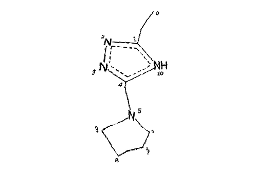 Cc1nnc(N2C[CH]CC2)[nH]1